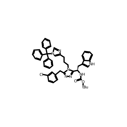 CC(C)(C)OC(=O)N[C@H](Cc1c[nH]c2ccccc12)c1nnc(Cc2cccc(Cl)c2)n1CCCc1cn(C(c2ccccc2)(c2ccccc2)c2ccccc2)cn1